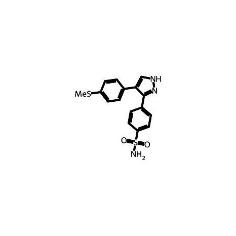 CSc1ccc(-c2c[nH]nc2-c2ccc(S(N)(=O)=O)cc2)cc1